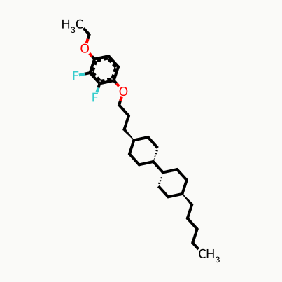 CCCCC[C@H]1CC[C@H]([C@H]2CC[C@H](CCCOc3ccc(OCC)c(F)c3F)CC2)CC1